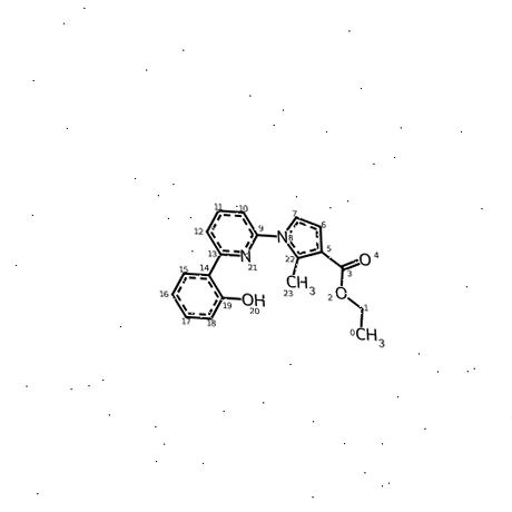 CCOC(=O)c1ccn(-c2cccc(-c3ccccc3O)n2)c1C